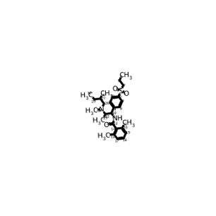 CCCS(=O)(=O)c1ccc(C(NC(=O)c2c(C)cccc2C)C(C)N(C)CC(C)CC)cc1